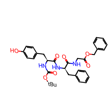 CC(C)(C)OC(=O)N[C@@H](Cc1ccc(O)cc1)C(=O)N[C@H](Cc1ccccc1)C(=O)NCC(=O)OCc1ccccc1